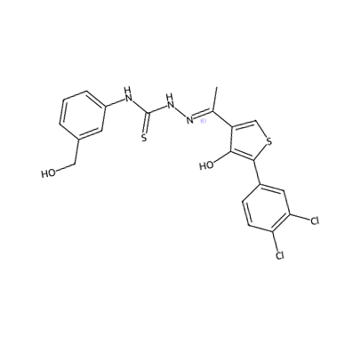 C/C(=N\NC(=S)Nc1cccc(CO)c1)c1csc(-c2ccc(Cl)c(Cl)c2)c1O